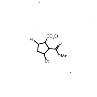 CCOC(=O)C1C(CC)CC(CC)C1C(=O)OC